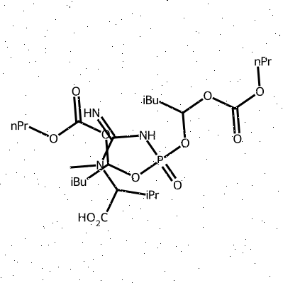 CCCOC(=O)OC(OP(=O)(NC(=N)N(C)C(C(=O)O)C(C)C)OC(OC(=O)OCCC)C(C)CC)C(C)CC